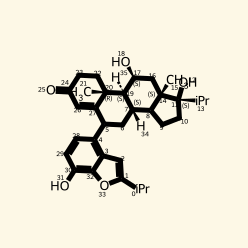 CC(C)c1cc2c(C3C[C@H]4C5CC[C@](O)(C(C)C)[C@@]5(C)C[C@H](O)[C@@H]4[C@@]4(C)CCC(=O)C=C34)ccc(O)c2o1